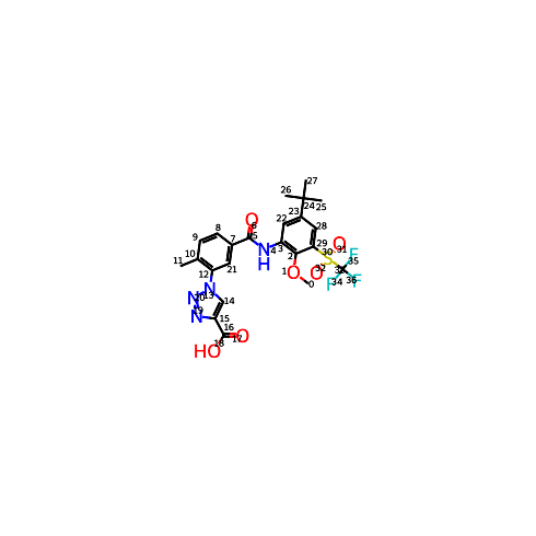 COc1c(NC(=O)c2ccc(C)c(-n3cc(C(=O)O)nn3)c2)cc(C(C)(C)C)cc1S(=O)(=O)C(F)(F)F